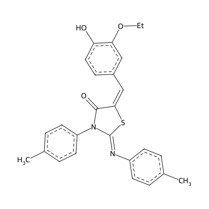 CCOc1cc(C=C2SC(=Nc3ccc(C)cc3)N(c3ccc(C)cc3)C2=O)ccc1O